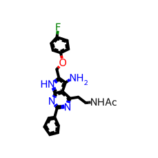 CC(=O)NCCc1nc(-c2ccccc2)nc2[nH]c(COc3ccc(F)cc3)c(N)c12